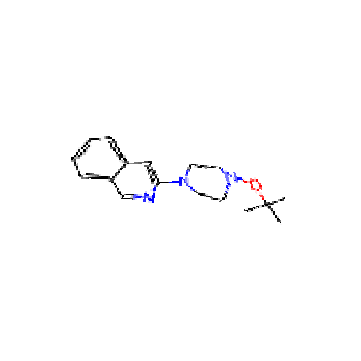 CC(C)(C)ON1CCN(c2cc3ccccc3cn2)CC1